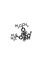 CC(C)c1ccc(S(=O)(=O)Nc2ccc(F)cc2NS(=O)(=O)c2ccc(C(C)C)cc2)cc1